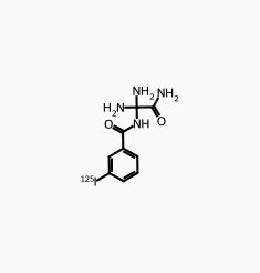 NC(=O)C(N)(N)NC(=O)c1cccc([125I])c1